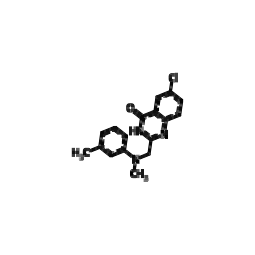 Cc1cccc(N(C)Cc2nc3ccc(Cl)cc3c(=O)[nH]2)c1